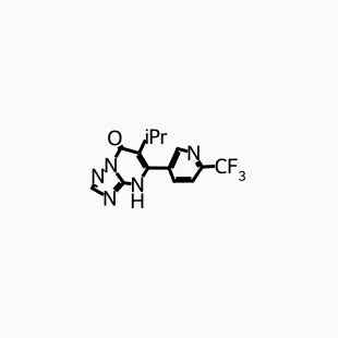 CC(C)c1c(-c2ccc(C(F)(F)F)nc2)[nH]c2ncnn2c1=O